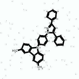 Cc1ccc2c(c1)c1cc(C)ccc1n2-c1ccc(-n2nc(-c3ccccc3)cc2-c2ccccc2)cc1